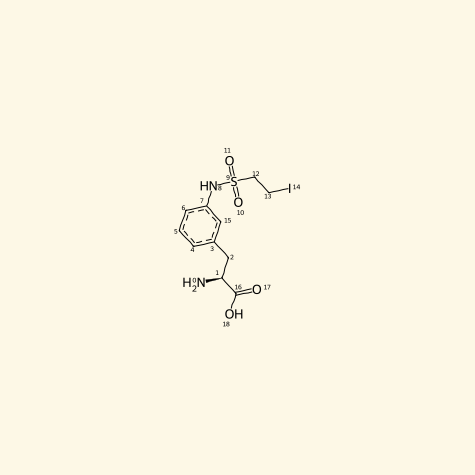 N[C@@H](Cc1cccc(NS(=O)(=O)CCI)c1)C(=O)O